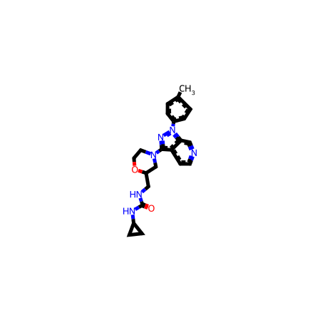 Cc1ccc(-n2nc(N3CCOC(CNC(=O)NC4CC4)C3)c3ccncc32)cc1